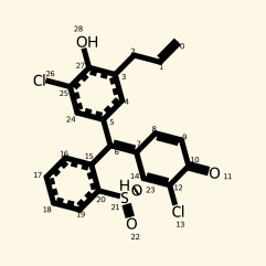 C=CCc1cc(/C(=C2\C=CC(=O)C(Cl)=C2)c2ccccc2[SH](=O)=O)cc(Cl)c1O